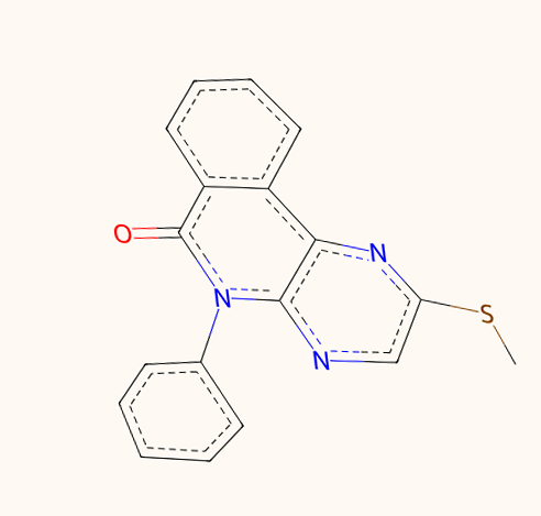 CSc1cnc2c(n1)c1ccccc1c(=O)n2-c1ccccc1